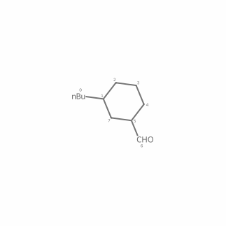 CCCCC1CCCC(C=O)C1